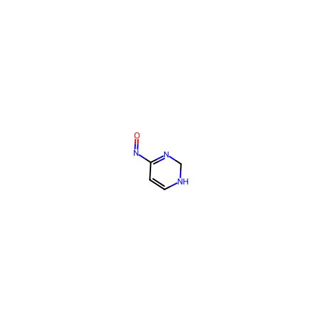 O=NC1=NCNC=C1